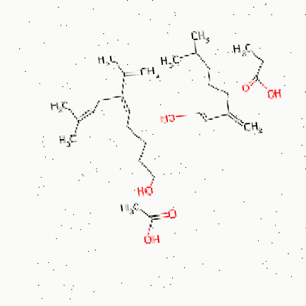 C=C(C)C(=CCCCCO)CC=C(C)C.C=C(C=CO)CCCC(C)C.CC(=O)O.CCC(=O)O